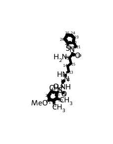 COc1cc(C)c(S(=O)(=O)NC=NNCCC[C@H](N)C(=O)N2Cc3ccccc3S2)c(C)c1C